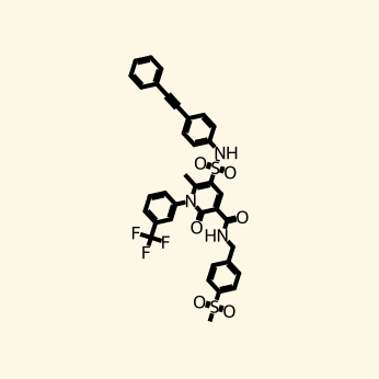 Cc1c(S(=O)(=O)Nc2ccc(C#Cc3ccccc3)cc2)cc(C(=O)NCc2ccc(S(C)(=O)=O)cc2)c(=O)n1-c1cccc(C(F)(F)F)c1